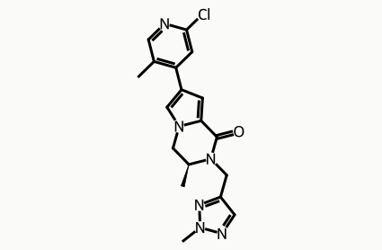 Cc1cnc(Cl)cc1-c1cc2n(c1)C[C@H](C)N(Cc1cnn(C)n1)C2=O